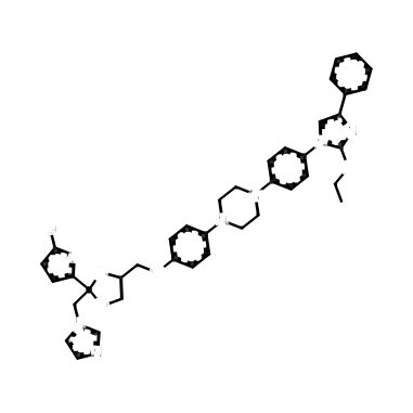 CCSc1nc(-c2ccccc2)cn1-c1ccc(N2CCN(c3ccc(OCC4COC(Cn5ccnc5)(c5ccc(Br)s5)O4)cc3)CC2)cc1